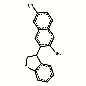 Nc1ccc2nc(N)c(C3COc4ccccc43)cc2c1